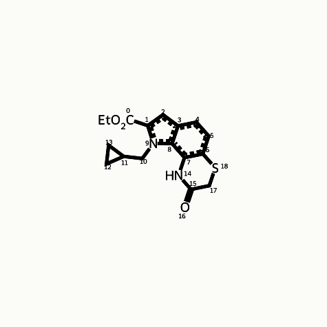 CCOC(=O)c1cc2ccc3c(c2n1CC1CC1)NC(=O)CS3